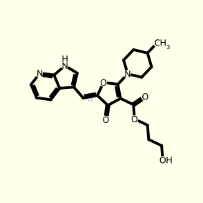 CC1CCN(C2=C(C(=O)OCCCO)C(=O)/C(=C/c3c[nH]c4ncccc34)O2)CC1